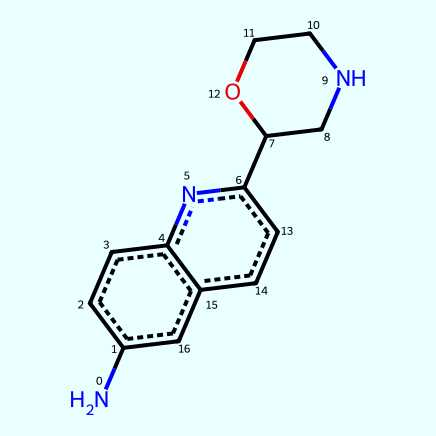 Nc1ccc2nc(C3CNCCO3)ccc2c1